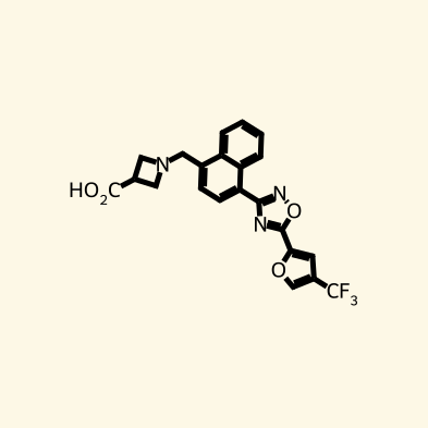 O=C(O)C1CN(Cc2ccc(-c3noc(-c4cc(C(F)(F)F)co4)n3)c3ccccc23)C1